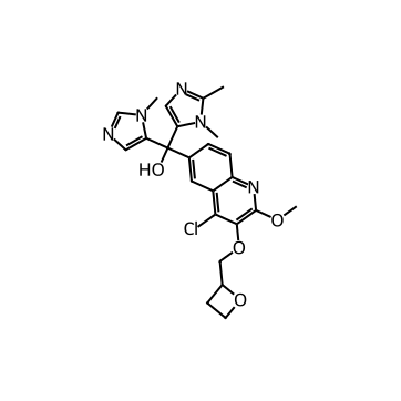 COc1nc2ccc(C(O)(c3cncn3C)c3cnc(C)n3C)cc2c(Cl)c1OCC1CCO1